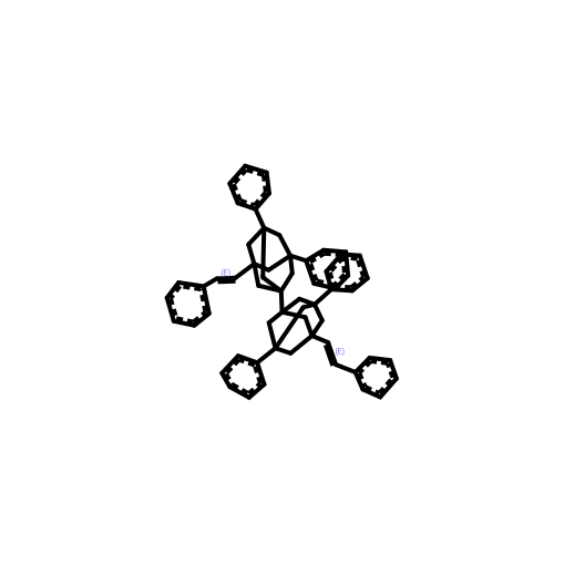 C(=C\C12CC3(c4ccccc4)CC(c4ccccc4)(C1)CC(C14CC5(/C=C/c6ccccc6)CC(c6ccccc6)(CC(c6ccccc6)(C5)C1)C4)(C2)C3)/c1ccccc1